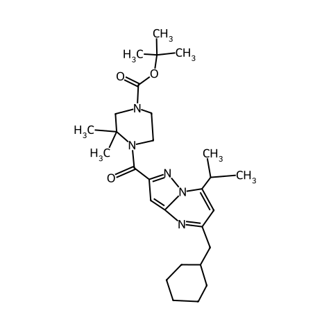 CC(C)c1cc(CC2CCCCC2)nc2cc(C(=O)N3CCN(C(=O)OC(C)(C)C)CC3(C)C)nn12